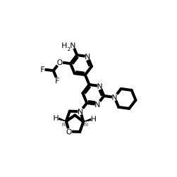 Nc1ncc(-c2cc(N3C[C@@H]4C[C@H]3CO4)nc(N3CCCCC3)n2)cc1OC(F)F